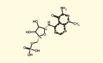 Cn1nc(N)c(=O)c2c(N[C@@H]3O[C@H](COP(=O)(O)O)C(O)C3O)ncnc21